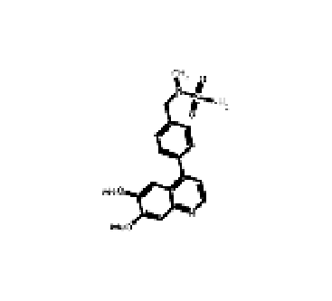 COc1cc2nccc(-c3ccc(CN(C)S(N)(=O)=O)cc3)c2cc1OC